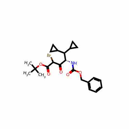 CC(C)(C)OC(=O)C(Br)C(=O)[C@@H](NC(=O)OCc1ccccc1)C(C1CC1)C1CC1